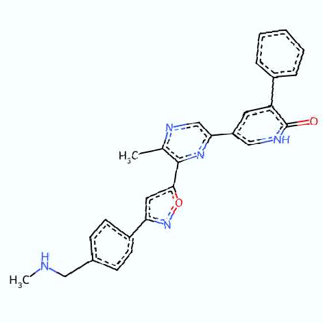 CNCc1ccc(-c2cc(-c3nc(-c4c[nH]c(=O)c(-c5ccccc5)c4)cnc3C)on2)cc1